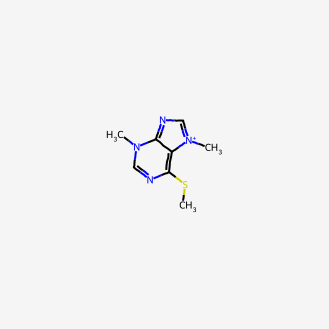 CSc1ncn(C)c2nc[n+](C)c1-2